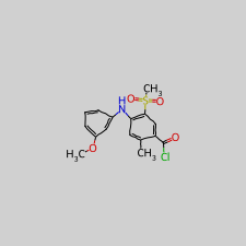 COc1cccc(Nc2cc(C)c(C(=O)Cl)cc2S(C)(=O)=O)c1